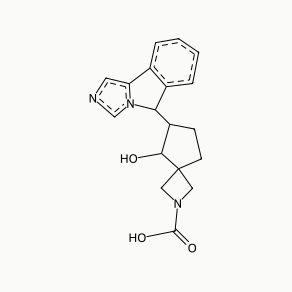 O=C(O)N1CC2(CCC(C3c4ccccc4-c4cncn43)C2O)C1